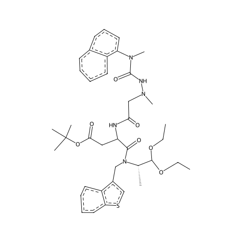 CCOC(OCC)[C@H](C)N(Cc1csc2ccccc12)C(=O)C(CC(=O)OC(C)(C)C)NC(=O)CN(C)NC(=O)N(C)c1cccc2ccccc12